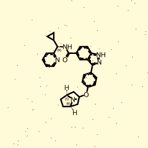 CN1[C@@H]2CC[C@H]1CC(Oc1ccc(-c3n[nH]c4ccc(C(=O)N[C@@H](c5ccccn5)C5CC5)cc34)cc1)C2